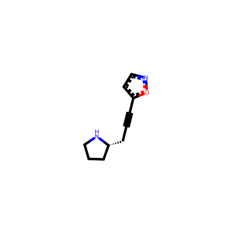 C(#Cc1ccno1)C[C@@H]1CCCN1